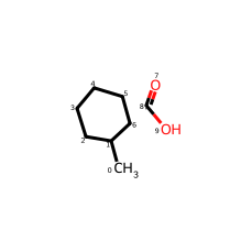 CC1CCCCC1.O=[C]O